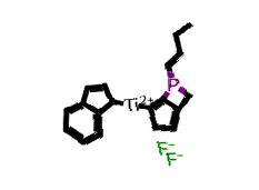 CCCCP1CC2=CC[C]([Ti+2][CH]3C=Cc4ccccc43)=C21.[F-].[F-]